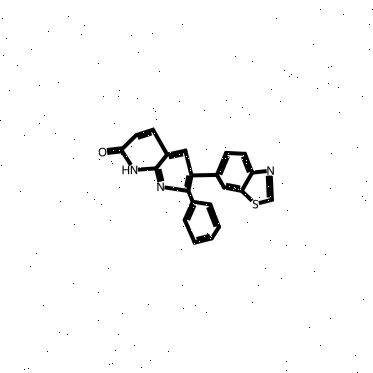 O=c1ccc2cc(-c3ccc4ncsc4c3)c(-c3ccccc3)nc2[nH]1